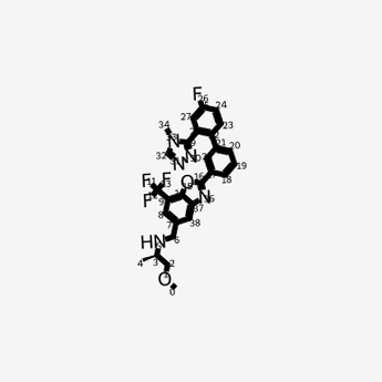 COC[C@@H](C)NCc1cc(C(F)(F)F)c2oc(-c3cccc(-c4ccc(F)cc4-c4nncn4C)c3)nc2c1